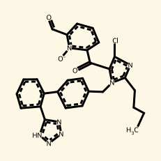 CCCCc1nc(Cl)c(C(=O)c2cccc(C=O)[n+]2[O-])n1Cc1ccc(-c2ccccc2-c2nnn[nH]2)cc1